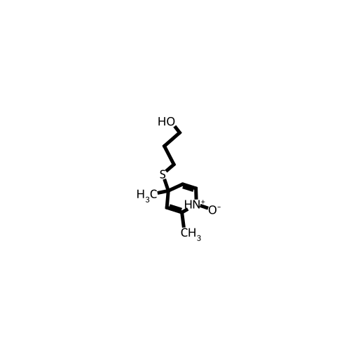 CC1=CC(C)(SCCCO)C=C[NH+]1[O-]